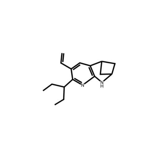 C=Cc1cc2c(nc1C(CC)CC)NC1CC2C1